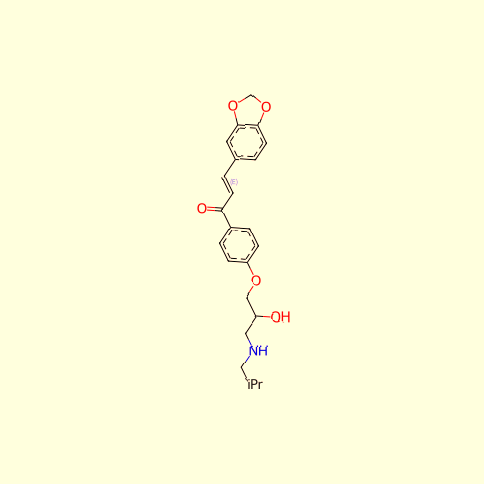 CC(C)CNCC(O)COc1ccc(C(=O)/C=C/c2ccc3c(c2)OCO3)cc1